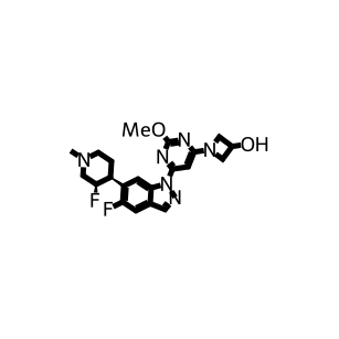 COc1nc(N2CC(O)C2)cc(-n2ncc3cc(F)c([C@@H]4CCN(C)C[C@@H]4F)cc32)n1